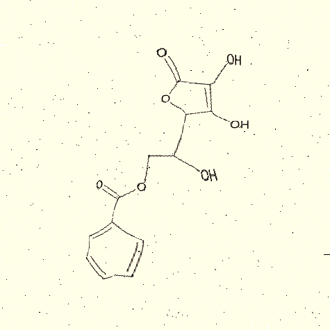 O=C1OC(C(O)COC(=O)c2ccccc2)C(O)=C1O